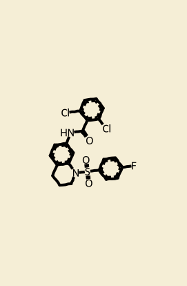 O=C(Nc1ccc2c(c1)N(S(=O)(=O)c1ccc(F)cc1)CCC2)c1c(Cl)cccc1Cl